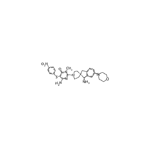 Cn1c(N2CCC3(CC2)Cc2ccc(N4CCOCC4)cc2[C@H]3N)nc(N)c(Sc2ccc([N+](=O)[O-])cc2)c1=O